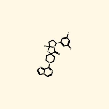 O=C1N2[C@@H](CC[C@H]2c2cc(F)cc(F)c2)OC12CCN(c1nccn3ccnc13)CC2